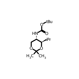 CC(C)[C@H]1OC(C)(C)OC[C@@H]1NC(=O)OC(C)(C)C